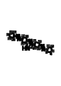 CNC.c1ccc(N=Nc2ccc(N=Nc3ccc(N=Nc4ccccc4)cc3)cc2)cc1